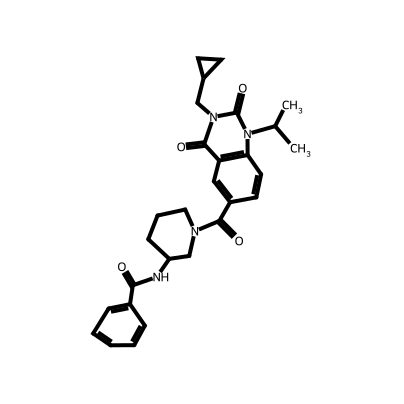 CC(C)n1c(=O)n(CC2CC2)c(=O)c2cc(C(=O)N3CCCC(NC(=O)c4ccccc4)C3)ccc21